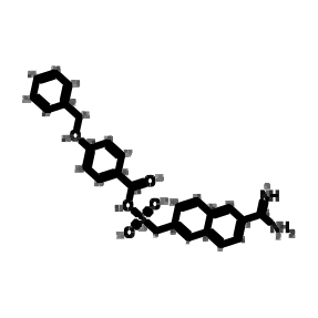 N=C(N)c1ccc2cc(CS(=O)(=O)OC(=O)c3ccc(OCc4ccccc4)cc3)ccc2c1